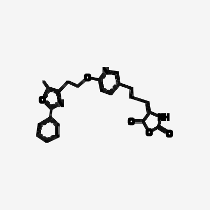 Cc1oc(-c2ccccc2)nc1CCOc1ccc(C=CC=C2NC(=O)OC2=O)cn1